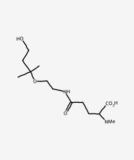 CNC(CCC(=O)NCCOC(C)(C)CCO)C(=O)O